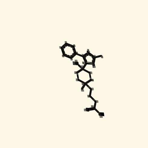 Cc1nc(-c2ccccc2)c(C2(O)CCC(C)(CCCC(=O)O)CC2)s1